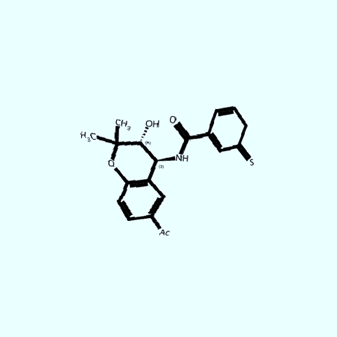 CC(=O)c1ccc2c(c1)[C@H](NC(=O)C1=CC(=S)CC=C1)[C@@H](O)C(C)(C)O2